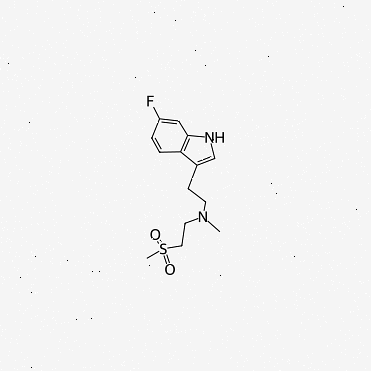 CN(CCc1c[nH]c2cc(F)ccc12)CCS(C)(=O)=O